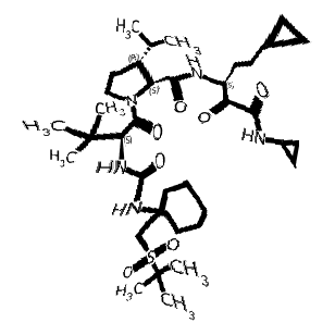 CC(C)[C@H]1CCN(C(=O)[C@@H](NC(=O)NC2(CS(=O)(=O)C(C)(C)C)CCCCC2)C(C)(C)C)[C@@H]1C(=O)N[C@@H](CCC1CC1)C(=O)C(=O)NC1CC1